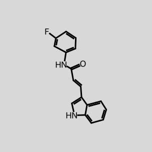 O=C(/C=C/c1c[nH]c2ccccc12)Nc1cccc(F)c1